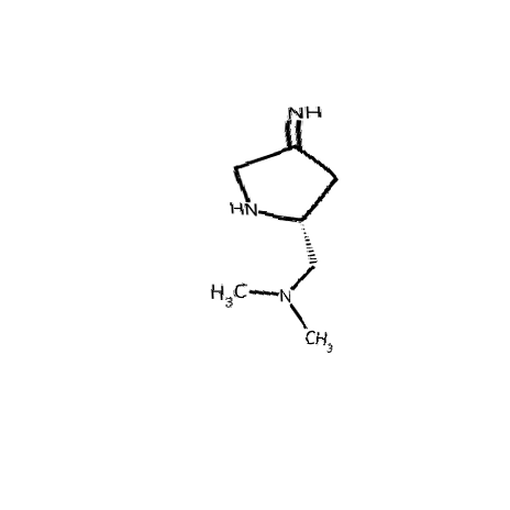 CN(C)C[C@H]1CC(=N)CN1